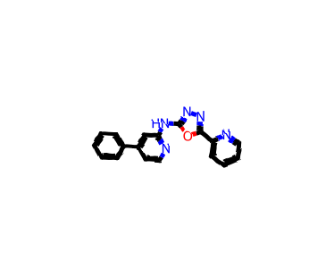 c1ccc(-c2ccnc(Nc3nnc(-c4ccccn4)o3)c2)cc1